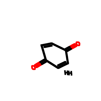 O=C1C=CC(=O)C=C1.[HH]